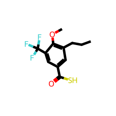 CCCc1cc(C(=O)S)cc(C(F)(F)F)c1OC